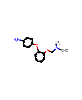 CN(C=O)COc1ccccc1Oc1ccc(N)cc1